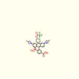 CC1CN(c2ccc3c(c2)[Si]2(CCCCC2)C2=CC(=[N+]4CC(C)C4)C=CC2=C3c2cc(C(=O)O)ccc2C(=O)O)C1.O=C([O-])C(F)(F)F